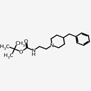 CC(C)(C)OC(=O)NCCN1CCC(Cc2ccccc2)CC1